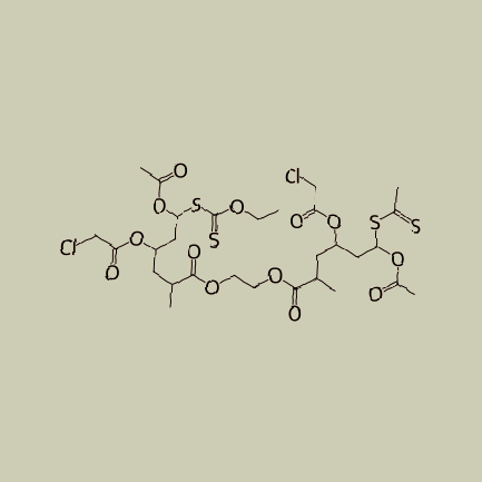 CCOC(=S)SC(CC(CC(C)C(=O)OCCOC(=O)C(C)CC(CC(OC(C)=O)SC(C)=S)OC(=O)CCl)OC(=O)CCl)OC(C)=O